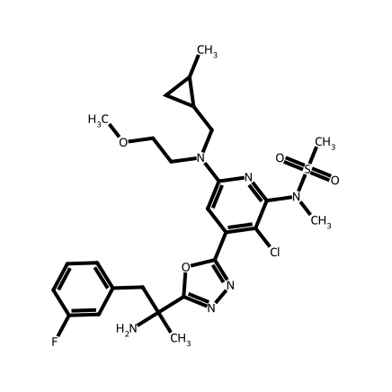 COCCN(CC1CC1C)c1cc(-c2nnc(C(C)(N)Cc3cccc(F)c3)o2)c(Cl)c(N(C)S(C)(=O)=O)n1